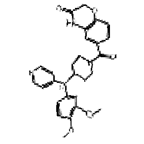 COc1ccc([C@@H](c2ccncc2)C2CCN(C(=O)c3ccc4c(c3)NC(=O)CO4)CC2)cc1OC